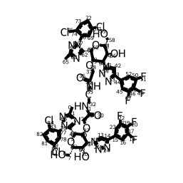 Cc1nc([C@H]2O[C@@H](CO)[C@@H](O)[C@@H](n3cc(-c4cc(F)c(F)c(F)c4)nn3)[C@@H]2OCC(=O)NCCNC(=O)CO[C@@H]2[C@@H](n3cc(-c4cc(F)c(F)c(F)c4)nn3)[C@@H](O)[C@@H](CO)O[C@H]2c2nc(C)nn2-c2cc(Cl)ccc2Cl)n(-c2cc(Cl)ccc2Cl)n1